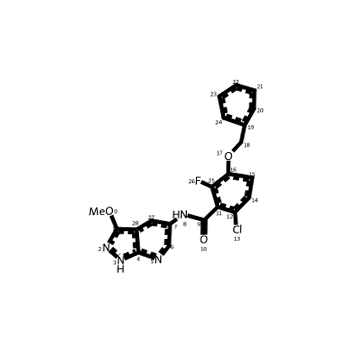 COc1n[nH]c2ncc(NC(=O)c3c(Cl)ccc(OCc4ccccc4)c3F)cc12